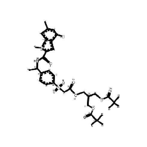 Cc1cc(Cl)c2cc(C(=O)NC(C)c3ccc(S(=O)(=O)CC(=O)OCC(COC(=O)C(C)(C)C)COC(=O)C(C)(C)C)cc3)n(C)c2c1